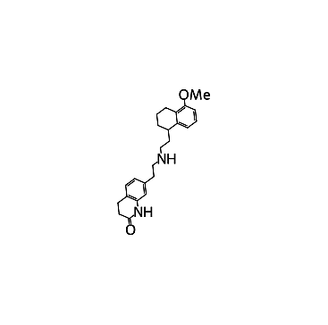 COc1cccc2c1CCCC2CCNCCc1ccc2c(c1)NC(=O)CC2